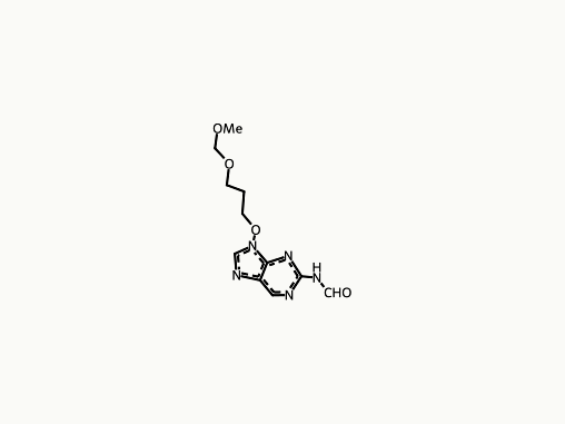 COCOCCCOn1cnc2cnc(NC=O)nc21